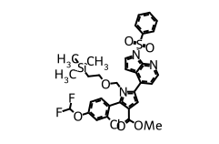 COC(=O)c1cc(-c2ccnc3c2ccn3S(=O)(=O)c2ccccc2)n(COCC[Si](C)(C)C)c1-c1ccc(OC(F)F)cc1Cl